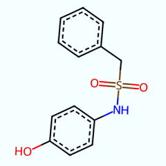 O=S(=O)(Cc1ccccc1)Nc1ccc(O)cc1